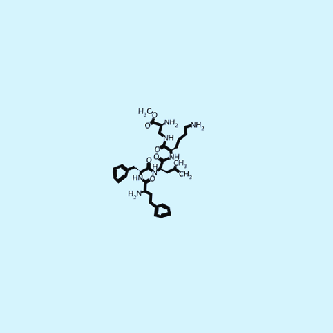 COC(=O)[C@@H](N)CNC(=O)[C@@H](CCCCN)NC(=O)[C@@H](CC(C)C)NC(=O)[C@@H](Cc1ccccc1)NC(=O)[C@H](N)CCc1ccccc1